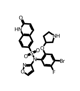 O=c1ccc2cc(S(=O)(=O)N(c3ccon3)c3cc(F)c(Br)cc3OC3CCNC3)ccc2[nH]1